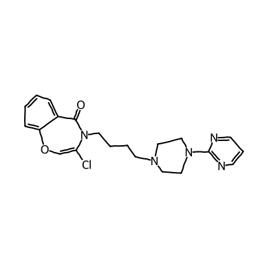 O=C1c2ccccc2OC=C(Cl)N1CCCCN1CCN(c2ncccn2)CC1